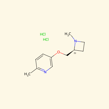 Cc1ccc(OC[C@@H]2CCN2C)cn1.Cl.Cl